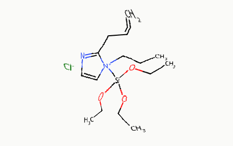 C=CCC1=NC=C[N+]1(CCC)[Si](OCC)(OCC)OCC.[Cl-]